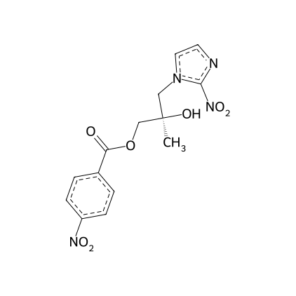 C[C@](O)(COC(=O)c1ccc([N+](=O)[O-])cc1)Cn1ccnc1[N+](=O)[O-]